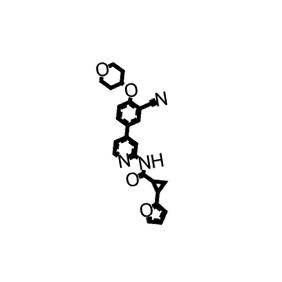 N#Cc1cc(-c2ccnc(NC(=O)C3CC3c3ccco3)c2)ccc1OC1CCOCC1